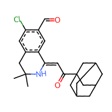 CC1(C)Cc2cc(Cl)c(C=O)cc2C(=CC(=O)C23CC4CC(CC(C4)C2)C3)N1